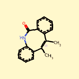 C/C1=C(\C)c2ccccc2C(=O)Nc2ccccc21